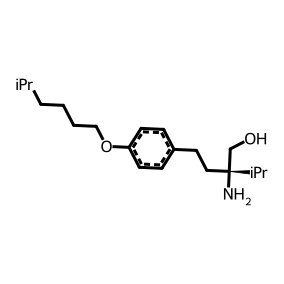 CC(C)CCCCOc1ccc(CC[C@@](N)(CO)C(C)C)cc1